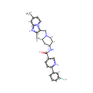 Cc1ccn2c(CN3CCC(NC(=O)c4ccc(-c5cccc(F)c5)nc4)CC3)c(C)nc2c1